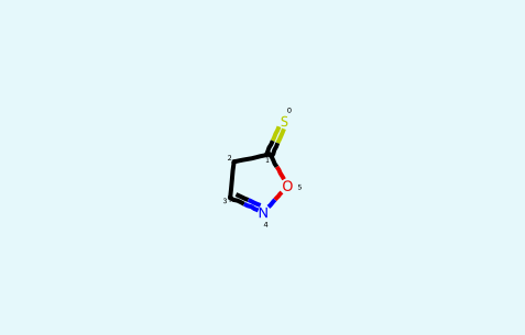 S=C1C[C]=NO1